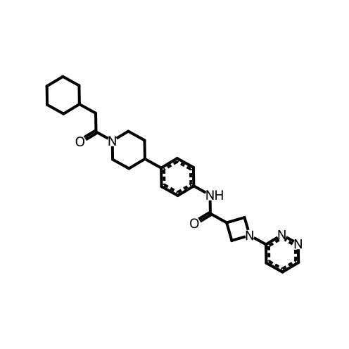 O=C(Nc1ccc(C2CCN(C(=O)CC3CCCCC3)CC2)cc1)C1CN(c2cccnn2)C1